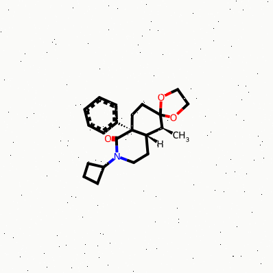 C[C@H]1[C@@H]2CCN(C3CCC3)C(=O)[C@@]2(c2ccccc2)CCC12OCCO2